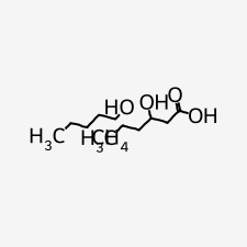 C.CCCC(O)CC(=O)O.CCCCCO